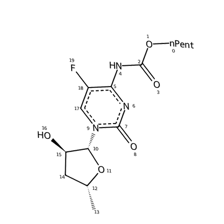 CCCCCOC(=O)Nc1nc(=O)n([C@@H]2O[C@H](C)C[C@H]2O)cc1F